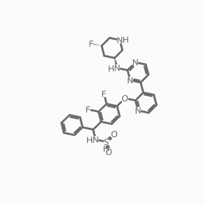 O=[SH](=O)NC(c1ccccc1)c1ccc(Oc2ncccc2-c2ccnc(N[C@@H]3CNC[C@@H](F)C3)n2)c(F)c1F